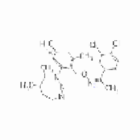 CC1=C(CO/N=C(/C)C2=CC=C(Cl)C(Cl)C2)C(N2N=NCCC(C)C2C)=C[C@@H](C)C1